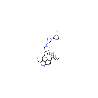 COc1ccc2ncc(CF)c(CCCC3(C(=O)NO)CCN(CCNc4cc(F)cc(F)c4)CC3)c2c1